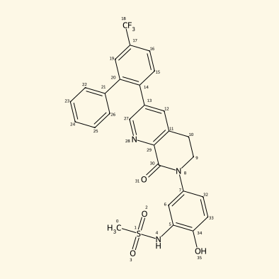 CS(=O)(=O)Nc1cc(N2CCc3cc(-c4ccc(C(F)(F)F)cc4-c4ccccc4)cnc3C2=O)ccc1O